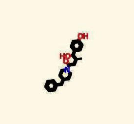 C[C@@H](CC(=O)N1CCC(Cc2ccccc2)CC1)[C@@H](O)c1ccc(O)cc1